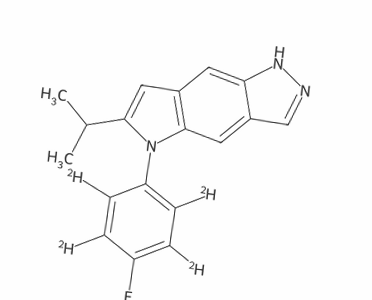 [2H]c1c([2H])c(-n2c(C(C)C)cc3cc4[nH]ncc4cc32)c([2H])c([2H])c1F